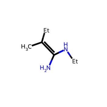 CCN/C(N)=C(/C)CC